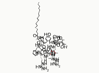 CCCCCCCCCCCCCCCC(=O)N[C@@H](C)C(=O)N[C@@H](Cc1ccc(O)cc1)C(=O)N[C@@H](Cc1ccccc1)C(=O)N[C@@H](CCCNC(=N)N)C(=O)N[C@@H](CCCNC(=N)N)C(=O)N[C@@H](CC(C)C)C(=O)N[C@@H](Cc1c[nH]cn1)C(=O)N[C@@H](CO)C(=O)N[C@H](C(C)=O)[C@@H](C)O